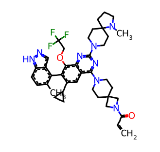 C=CC(=O)N1CC2(CCN(c3nc(N4CCC5(CCCN5C)CC4)nc4c(OCC(F)(F)F)c(-c5c(C)ccc6[nH]ncc56)c(C5CC5)cc34)CC2)C1